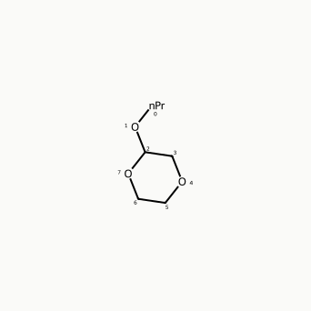 CCCOC1COCCO1